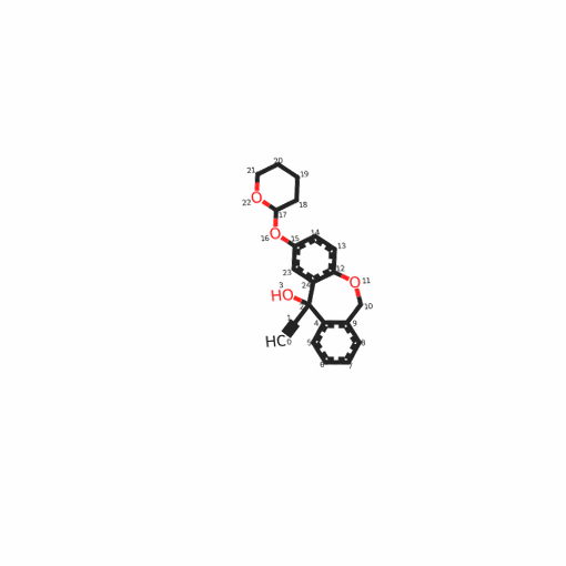 C#CC1(O)c2ccccc2COc2ccc(OC3CCCCO3)cc21